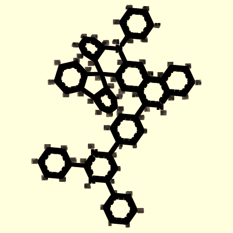 c1ccc(-c2cc(-c3ccc(-c4nc5ccccc5c5cc6c(cc45)C4(c5ccccc5-c5ccccc54)c4ccccc4N6c4ccccc4)cc3)nc(-c3ccccc3)n2)cc1